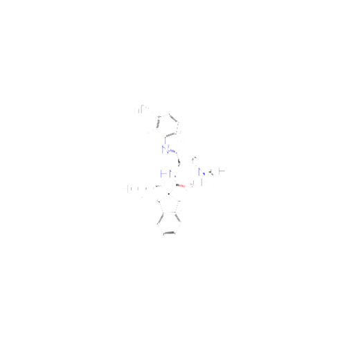 CCCc1ccc2sc(CNC(=O)C3(CC(=O)O)Cc4ccccc4C3)nc2c1.CN(C)C